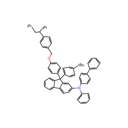 CC(C)CC(c1ccc(COc2ccc(C3(c4ccc(C(C)(C)C)cc4)c4ccccc4-c4ccc(N(c5ccccc5)c5ccc(-c6ccccc6)cc5)cc43)cc2)cc1)C(C)C